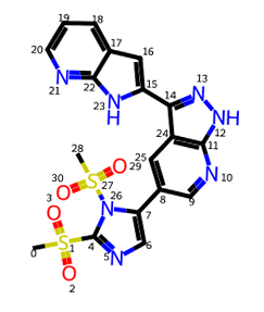 CS(=O)(=O)c1ncc(-c2cnc3[nH]nc(-c4cc5cccnc5[nH]4)c3c2)n1S(C)(=O)=O